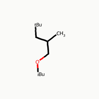 [CH2]CC(C)OCC(C)CC(C)(C)C